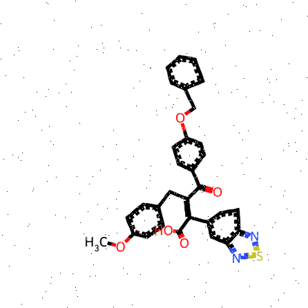 COc1ccc(C/C(C(=O)c2ccc(OCc3ccccc3)cc2)=C(\C(=O)O)c2ccc3nsnc3c2)cc1